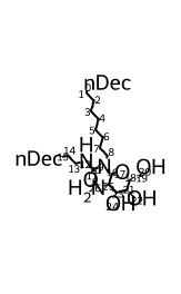 CCCCCCCCCCCCCCCCCCN(C(=O)NCCCCCCCCCCCC)[C@@H]1O[C@H](CO)[C@@H](O)[C@H](O)[C@H]1N